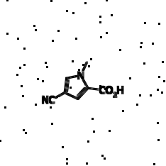 Cn1cc(C#N)cc1C(=O)O